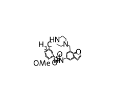 COc1ccc(C)cc1S(=O)(=O)Nc1cc(CN2CCNCC2)c2occc2c1